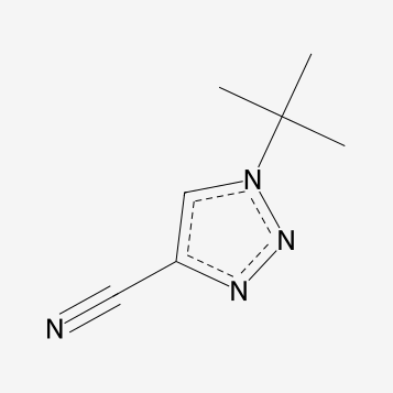 CC(C)(C)n1cc(C#N)nn1